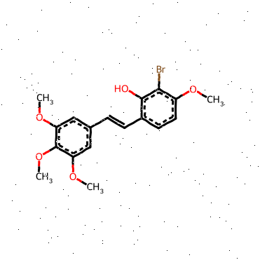 COc1ccc(C=Cc2cc(OC)c(OC)c(OC)c2)c(O)c1Br